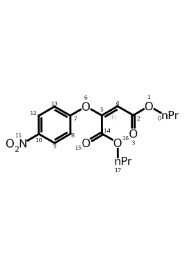 CCCOC(=O)/C=C(/Oc1ccc([N+](=O)[O-])cc1)C(=O)OCCC